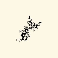 CCOC(=O)[C@H](C)NP(=O)(N[C@@H](C)C(=O)OCC)OC[C@H]1O[C@@](C#N)(c2ccc3c(N)ncnn23)[C@H](O)[C@@H]1O